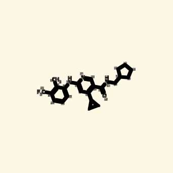 Cc1c(Nc2cc(C3CC3)c(C(=O)NCC3CCCC3)cn2)cccc1C(F)(F)F